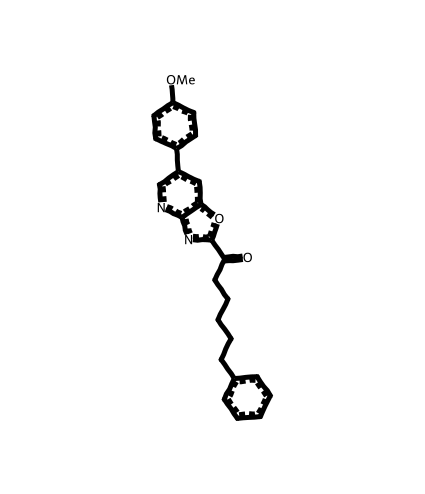 COc1ccc(-c2cnc3nc(C(=O)CCCCCc4ccccc4)oc3c2)cc1